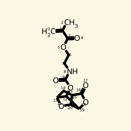 C=C(C)C(=O)OCCNC(=O)OC1C2CC3C(=O)OC1C3O2